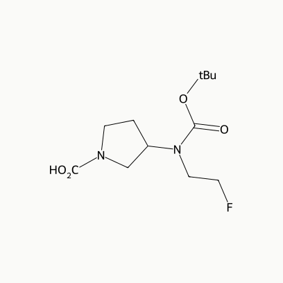 CC(C)(C)OC(=O)N(CCF)C1CCN(C(=O)O)C1